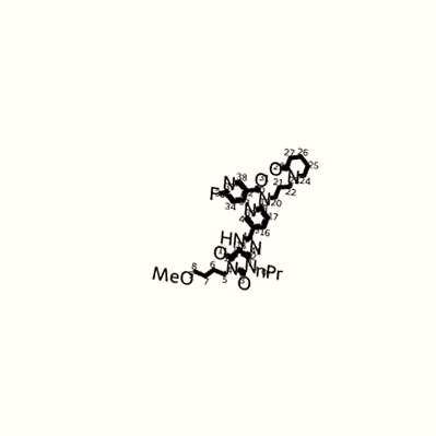 CCCn1c(=O)n(CCCCOC)c(=O)c2[nH]c(-c3ccc(N(CCCN4CCCCC4=O)C(=O)c4ccc(F)nc4)nc3)nc21